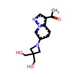 CC(=O)c1cnn2cc(N3CC(CO)(CO)C3)ccc12